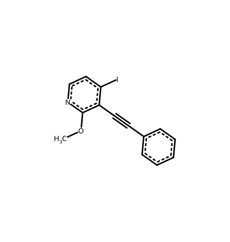 COc1nccc(I)c1C#Cc1ccccc1